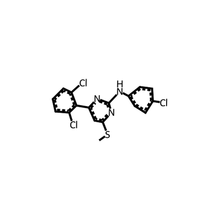 CSc1cc(-c2c(Cl)cccc2Cl)nc(Nc2ccc(Cl)cc2)n1